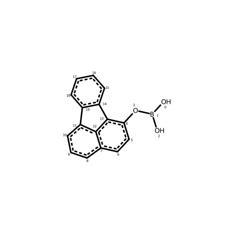 OB(O)Oc1ccc2cccc3c2c1-c1ccccc1-3